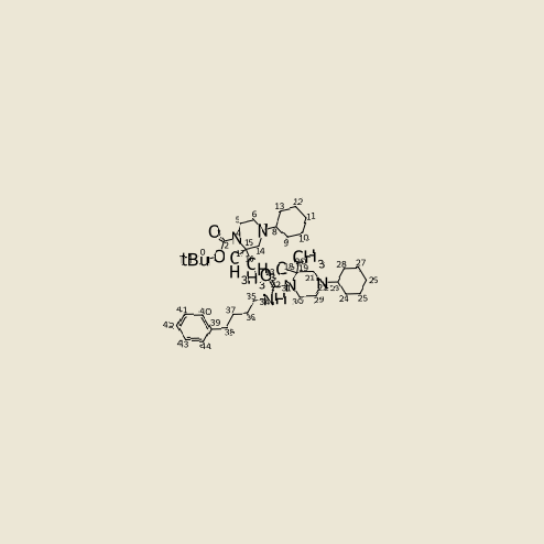 CC(C)(C)OC(=O)N1CCN(C2CCCCC2)CC1(C)C.CC1(C)CN(C2CCCCC2)CCN1C(=O)NCCCCc1ccccc1